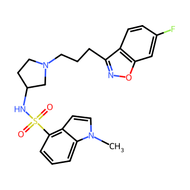 Cn1ccc2c(S(=O)(=O)NC3CCN(CCCc4noc5cc(F)ccc45)C3)cccc21